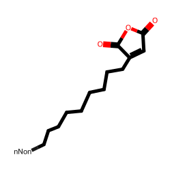 CCCCCCCCCCCCCCCCCCC1=CC(=O)OC1=O